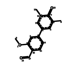 COc1cc(-c2cc(C)c(=O)n(C)c2)ccc1C=O